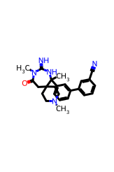 CN1CCC2(CC1)CC(=O)N(C)C(=N)NC2(C)c1cccc(-c2cccc(C#N)c2)c1